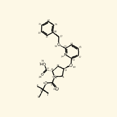 CC(C)(C)OC(=O)N1C[C@H](Oc2cccc(OCc3ccccc3)n2)C[C@H]1C(=O)O